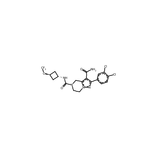 NC(=O)c1c(-c2ccc(Cl)c(Cl)c2)nn2c1CN(C(=O)N[C@H]1C[C@H](OC(F)(F)F)C1)CC2